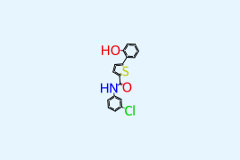 O=C(Nc1cccc(Cl)c1)c1ccc(-c2ccccc2O)s1